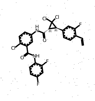 C=Cc1ccc([C@H]2[C@H](C(=O)Nc3ccc(Cl)c(C(=O)Nc4ccc(F)cc4F)c3)C2(Cl)Cl)cc1F